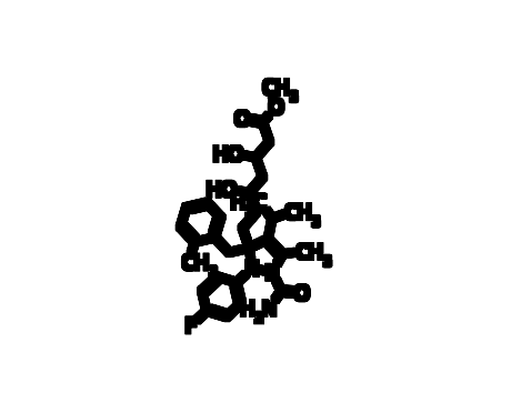 COC(=O)CC(O)CC(O)CCC1(Cc2ccccc2C)C(C(C)C)=C(C)N(C(N)=O)N1c1ccc(F)cc1